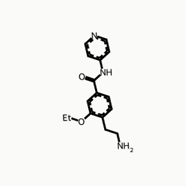 CCOc1cc(C(=O)Nc2ccncc2)ccc1CCN